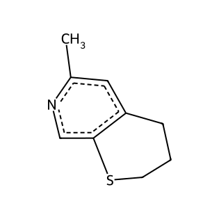 Cc1cc2c(cn1)SCCC2